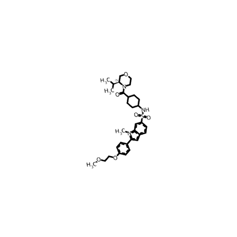 COCCOc1ccc(-c2cc3ccc(S(=O)(=O)NC4CCC(C(=O)N5CCOC[C@@H]5C(C)C)CC4)cc3n2C)cc1